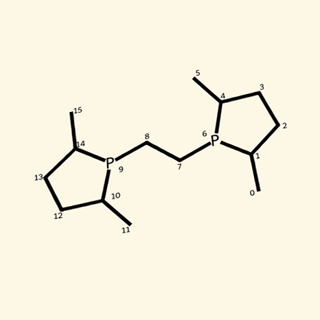 CC1CCC(C)P1CCP1C(C)CCC1C